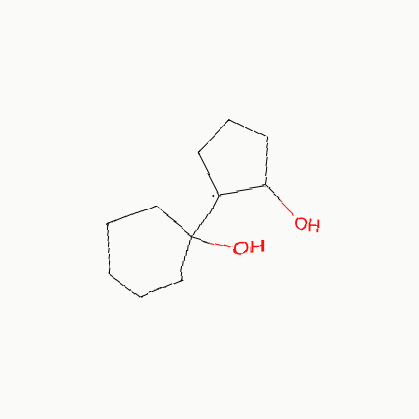 OC1CCC[C]1C1(O)CCCCC1